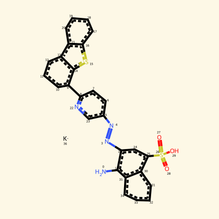 Nc1c(N=Nc2ccc(-c3cccc4c3sc3ccccc34)nc2)cc(S(=O)(=O)O)c2ccccc12.[K]